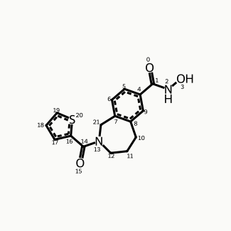 O=C(NO)c1ccc2c(c1)CCCN(C(=O)c1cccs1)C2